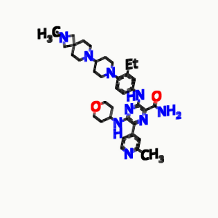 CCc1cc(Nc2nc(NC3CCOCC3)c(-c3ccnc(C)c3)nc2C(N)=O)ccc1N1CCC(N2CCC3(CC2)CN(C)C3)CC1